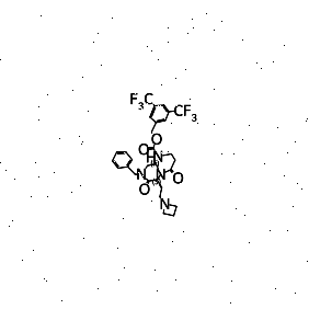 O=C1[C@H](CCN2CCC2)N2C(=O)CCN(C(=O)OCc3cc(C(F)(F)F)cc(C(F)(F)F)c3)[C@H]2CN1Cc1ccccc1